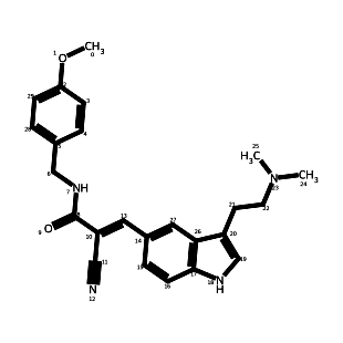 COc1ccc(CNC(=O)/C(C#N)=C/c2ccc3[nH]cc(CCN(C)C)c3c2)cc1